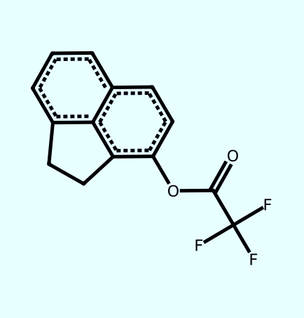 O=C(Oc1ccc2cccc3c2c1CC3)C(F)(F)F